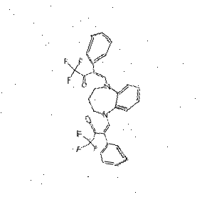 O=C(/C(=C\N1CCCN(/C=C(\C(=O)C(F)(F)F)c2ccccc2)c2ccccc21)c1ccccc1)C(F)(F)F